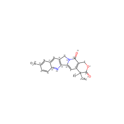 CCC1(OC(C)=O)C(=O)OCc2c1cc1n(c2=O)Cc2cc3cc([N+](=O)[O-])ccc3nc2-1